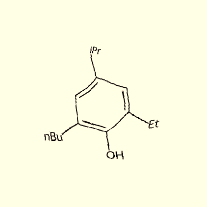 CCCCc1cc(C(C)C)cc(CC)c1O